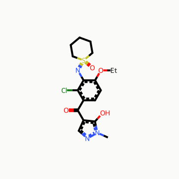 CCOc1ccc(C(=O)c2cnn(C)c2O)c(Cl)c1N=S1(=O)CCCCC1